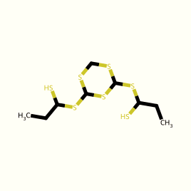 CCC(S)SC1SCSC(SC(S)CC)S1